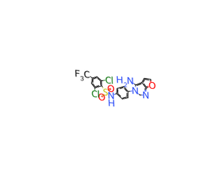 NC1=c2ccoc2=NCN1c1ccc(NS(=O)(=O)c2c(Cl)cc(C(F)(F)F)cc2Cl)cc1